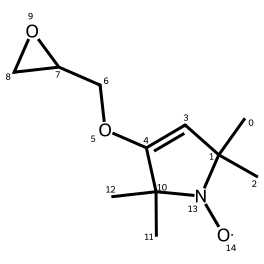 CC1(C)C=C(OCC2CO2)C(C)(C)N1[O]